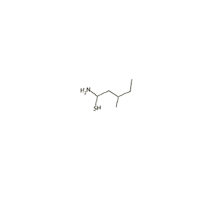 CCC(C)CC(N)S